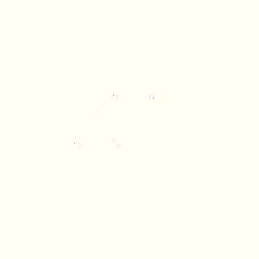 CCN(C(=O)c1ncc2n1CC(CC(F)(F)F)CC2)C(=O)N(C)c1ccccc1C1CCC1